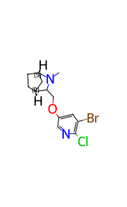 CN1C(COc2cnc(Cl)c(Br)c2)[C@@H]2CC[C@H]1C2